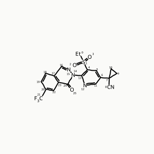 CCS(=O)(=O)c1cc(C2(C#N)CC2)cnc1-n1ncc2ccc(C(F)(F)F)cc2c1=O